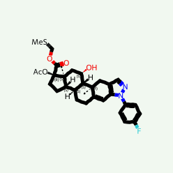 CSCOC(=O)[C@@]1(OC(C)=O)CC[C@H]2[C@@H]3CCC4=Cc5c(cnn5-c5ccc(F)cc5)C[C@]4(C)[C@H]3[C@@H](O)C[C@@]21C